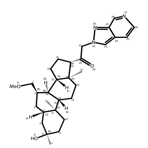 COC[C@@H]1C[C@H]2C[C@](C)(O)CC[C@]2(C)[C@H]2CC[C@]3(C)[C@@H](C(=O)Cn4cc5ccncc5n4)CC[C@H]3[C@H]12